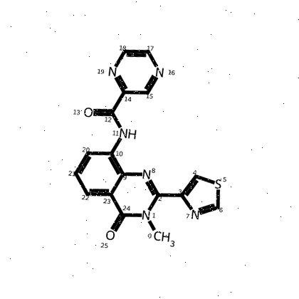 Cn1c(-c2cscn2)nc2c(NC(=O)c3cnccn3)cccc2c1=O